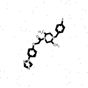 CC1CN(C(=O)COc2ccc(-n3cncn3)cc2)C(C)CN1Cc1ccc(F)cc1